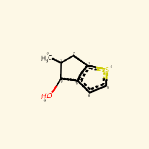 CC1Cc2sccc2C1O